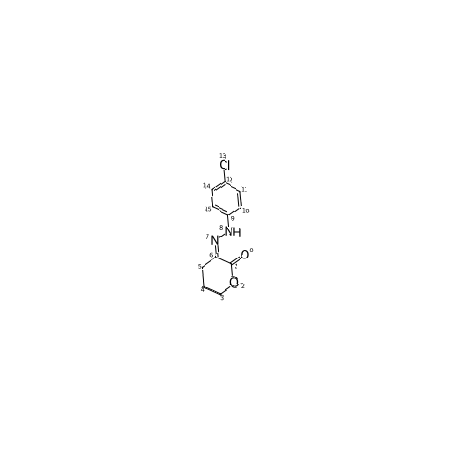 O=C1OCCCC1=NNc1ccc(Cl)cc1